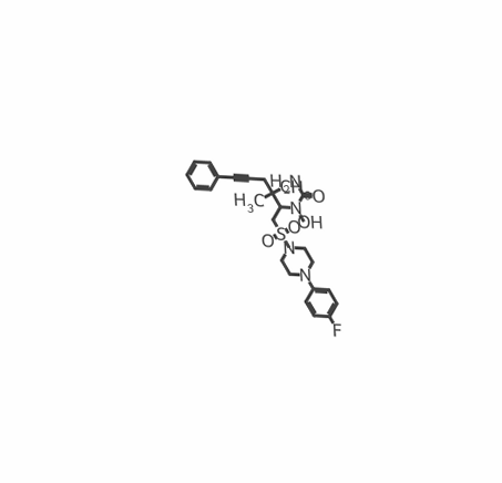 CC(C)(CC#Cc1ccccc1)C(CS(=O)(=O)N1CCN(c2ccc(F)cc2)CC1)N(O)C(N)=O